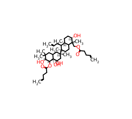 C=CCCC(=O)OC[C@]1(C)C2CC[C@@](C)([C@@]3(C)CC4CC(C)(C)[C@@H](O)[C@H](OC(=O)CCC=C)[C@]4(CO)[C@H](O)C3)C(CC=C)[C@@]2(C)CC[C@@H]1O